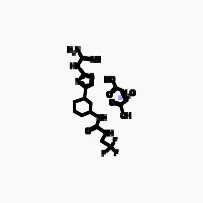 N=C(N)Nc1nc(C2CCCC(NC(=O)NCC(F)(F)F)C2)cs1.O.O=C(O)/C=C\C(=O)O